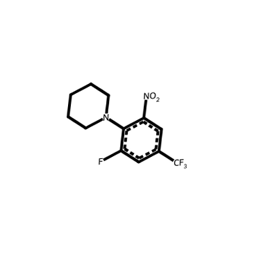 O=[N+]([O-])c1cc(C(F)(F)F)cc(F)c1N1CCCCC1